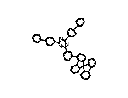 c1ccc(-c2ccc(-c3nc(-c4ccc(-c5ccccc5)cc4)nc(-c4cccc(-c5cccc6c5-c5ccccc5C65c6ccccc6-c6ccccc65)c4)n3)cc2)cc1